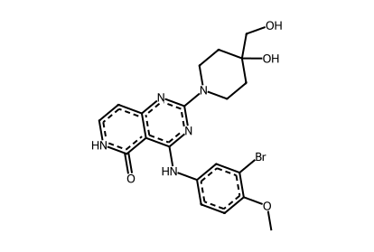 COc1ccc(Nc2nc(N3CCC(O)(CO)CC3)nc3cc[nH]c(=O)c23)cc1Br